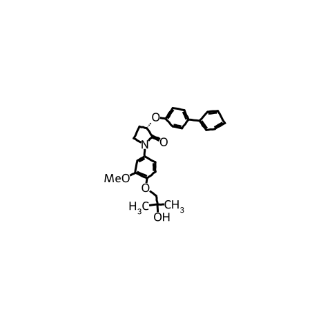 COc1cc(N2CC[C@H](Oc3ccc(-c4ccccc4)cc3)C2=O)ccc1OCC(C)(C)O